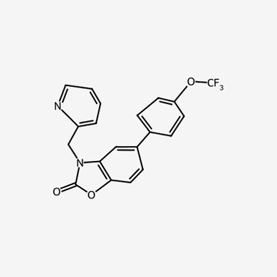 O=c1oc2ccc(-c3ccc(OC(F)(F)F)cc3)cc2n1Cc1ccccn1